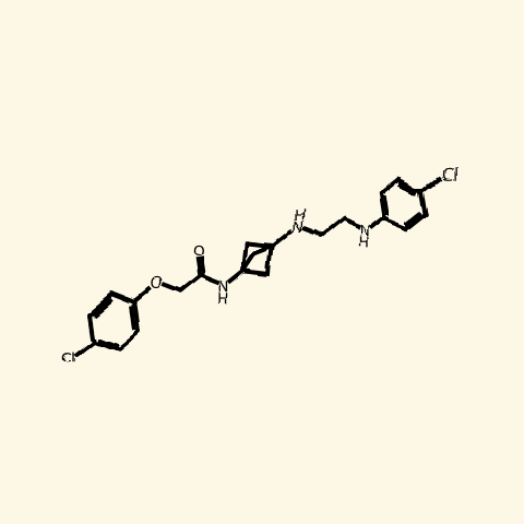 O=C(COc1ccc(Cl)cc1)NC12CC(NCCNc3ccc(Cl)cc3)(C1)C2